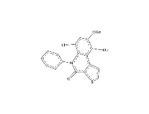 CCCCc1c(OC)cc(Cl)c2c1c1ccsc1c(=O)n2-c1ccccc1